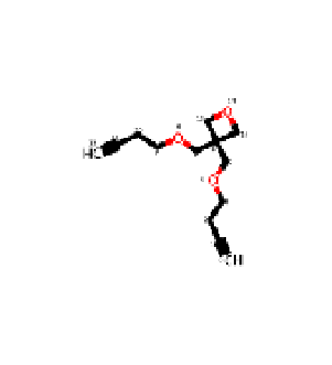 C#CCCOCC1(COCCC#C)COC1